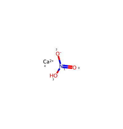 O=[N+]([O-])O.[Ca+2]